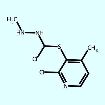 CNNC(Cl)Sc1c(C)ccnc1Cl